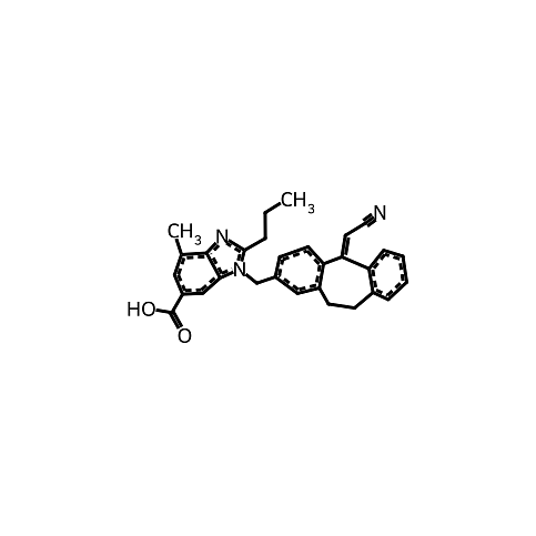 CCCc1nc2c(C)cc(C(=O)O)cc2n1Cc1ccc2c(c1)CCc1ccccc1C2=CC#N